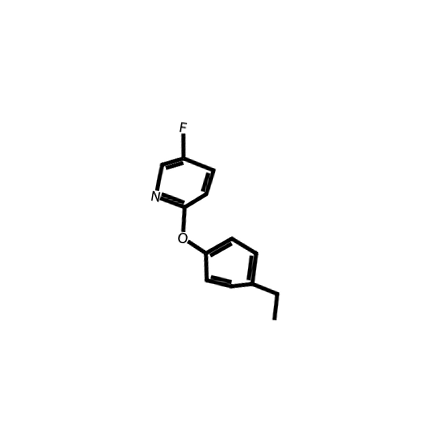 CCc1ccc(Oc2ccc(F)cn2)cc1